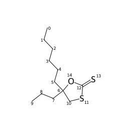 CCCCCCC1(CCC)CSC(=S)O1